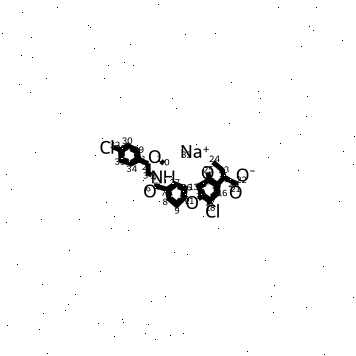 COC(CNC(=O)c1ccc(Oc2cc3c(cc2Cl)C(C(=O)[O-])CCO3)cc1)c1ccc(Cl)cc1.[Na+]